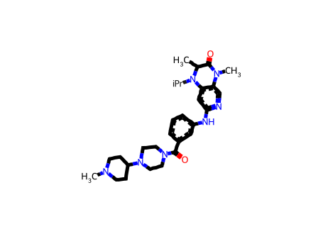 CC(C)N1c2cc(Nc3cccc(C(=O)N4CCN(C5CCN(C)CC5)CC4)c3)ncc2N(C)C(=O)C1C